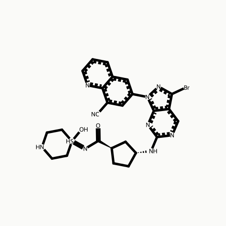 N#Cc1cc(-n2nc(Br)c3cnc(N[C@@H]4CC[C@@H](C(=O)N=[SH]5(O)CCNCC5)C4)nc32)cc2cccnc12